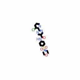 O=C(Nc1ccc(S(=O)(=O)N2CCOCC2)cc1)c1cnc(-c2ncccc2Cl)nc1